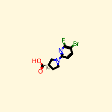 O=C(O)[C@H]1CCN(c2ccc(Br)c(F)n2)C1